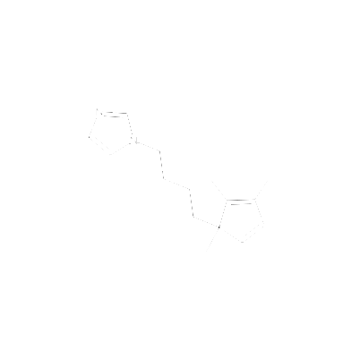 CC1=C(C)C(C)(CCCCn2ccnc2)C=C1